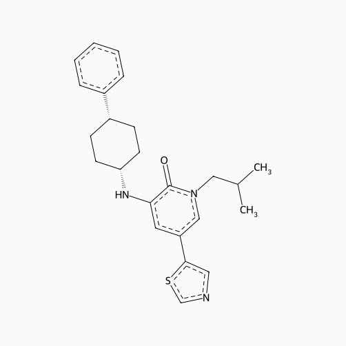 CC(C)Cn1cc(-c2cncs2)cc(N[C@H]2CC[C@@H](c3ccccc3)CC2)c1=O